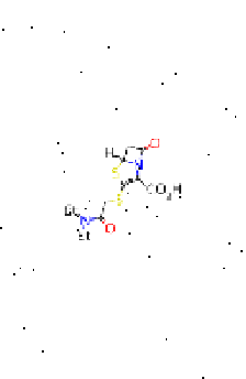 CCN(CC)C(=O)CSC1=C(C(=O)O)N2C(=O)C[C@H]2S1